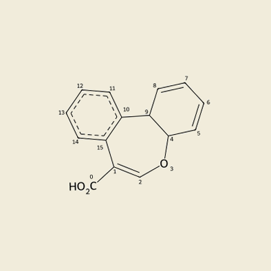 O=C(O)C1=COC2C=CC=CC2c2ccccc21